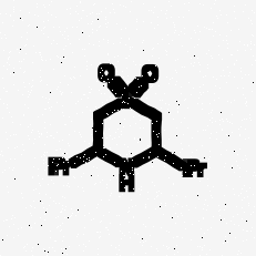 CC(C)C1CS(=O)(=O)CC(C(C)C)N1